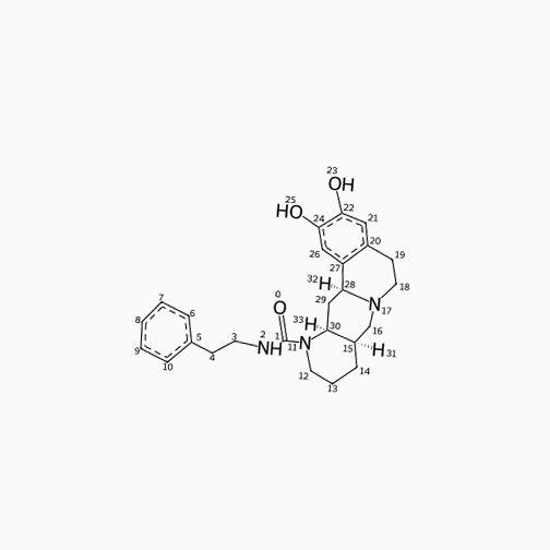 O=C(NCCc1ccccc1)N1CCC[C@@H]2CN3CCc4cc(O)c(O)cc4[C@@H]3C[C@@H]21